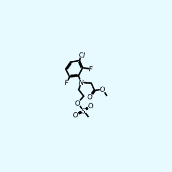 COC(=O)CN(CCOS(C)(=O)=O)c1c(F)ccc(Cl)c1F